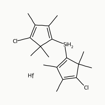 CC1=C(Cl)C(C)(C)C([SiH2]C2=C(C)C(C)=C(Cl)C2(C)C)=C1C.[Hf]